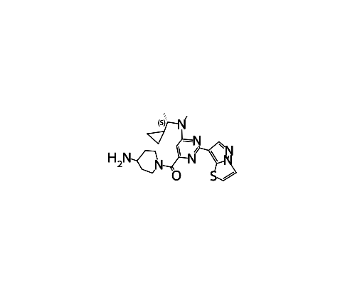 C[C@@H](C1CC1)N(C)c1cc(C(=O)N2CCC(N)CC2)nc(-c2cnn3ccsc23)n1